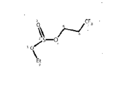 CCOS(=O)OCCC(F)(F)F